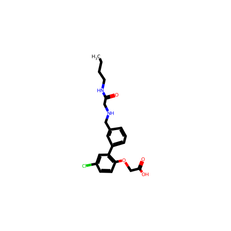 CCCCNC(=O)CNCc1cccc(-c2cc(Cl)ccc2OCC(=O)O)c1